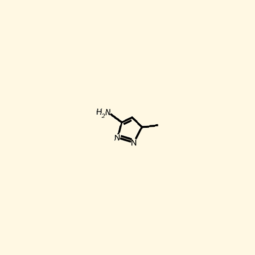 CC1C=C(N)N=N1